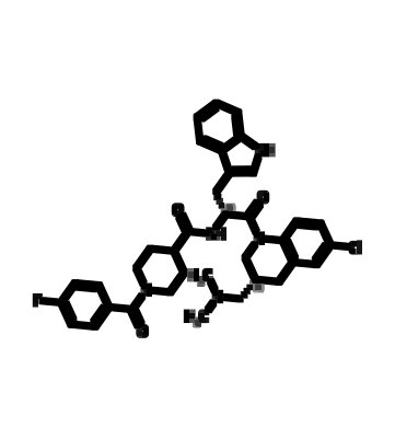 CN(C)C[C@H]1Cc2cc(Cl)ccc2N(C(=O)[C@@H](Cc2c[nH]c3ccccc23)NC(=O)C2CCN(C(=O)c3ccc(F)cc3)CC2)C1